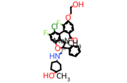 CNC(=O)c1ccc(OCCO)c(F)c1-c1c(Cl)c(F)cc2c1[C@H](C)[C@@](CN[C@H]1CC[C@](C)(O)CC1)(c1ccccc1)O2